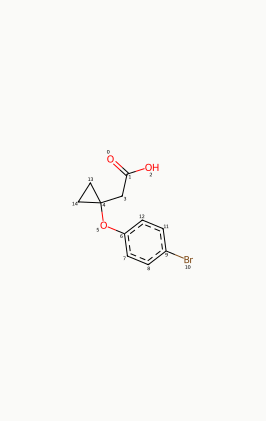 O=C(O)CC1(Oc2ccc(Br)cc2)CC1